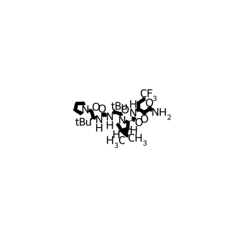 CC(C)(C)[C@H](NC(=O)N[C@H](C(=O)N1C[C@H]2[C@@H]([C@H]1C(=O)NC(CCC(F)(F)F)C(=O)C(N)=O)C2(C)C)C(C)(C)C)C(=O)N1CCCC1